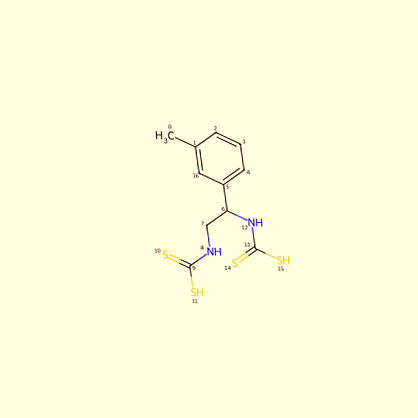 Cc1cccc(C(CNC(=S)S)NC(=S)S)c1